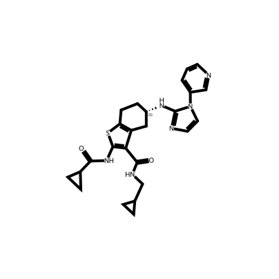 O=C(NCC1CC1)c1c(NC(=O)C2CC2)sc2c1C[C@@H](Nc1nccn1-c1cccnc1)CC2